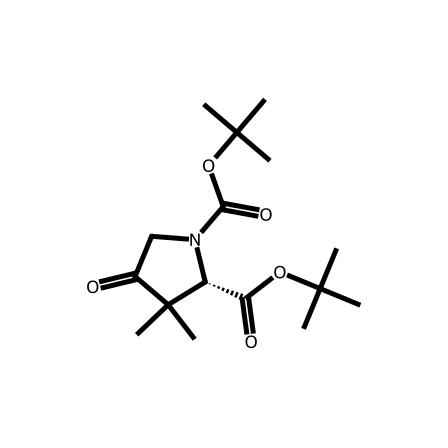 CC(C)(C)OC(=O)[C@H]1N(C(=O)OC(C)(C)C)CC(=O)C1(C)C